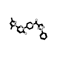 Cc1cc(C)n(-c2ccc(=O)n(C3CCN(C(=O)c4cnn(-c5ccccc5)n4)CC3)n2)n1